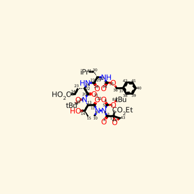 CCOC(=O)C1(C(=O)N(C(=O)OC(C)(C)C)N(C)C(=O)[C@H]([C@@H](C)O)N(OC(C)(C)C)C(=O)[C@H](CCC(=O)O)NC(=O)[C@H](CC(C)C)NC(=O)OCc2ccccc2)CO1